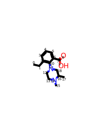 CCc1cccc(C(=O)O)c1N1CCN(C)C(C)C1